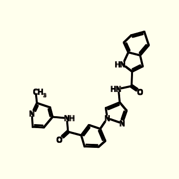 Cc1cc(NC(=O)c2cccc(-n3cc(NC(=O)c4cc5ccccc5[nH]4)cn3)c2)ccn1